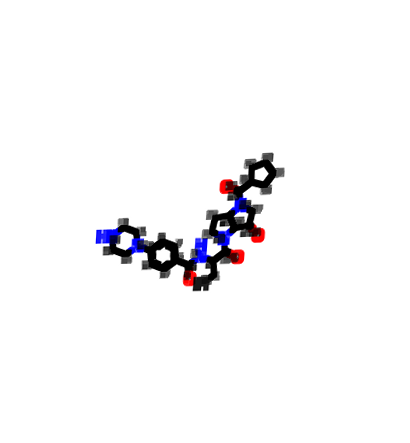 CC(C)CC(NC(=O)c1ccc(N2CCNCC2)cc1)C(=O)N1CCC2C1C(=O)CN2C(=O)C1CCCC1